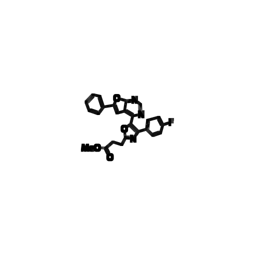 COC(=O)CCc1nc(-c2ccc(F)cc2)c(-c2ncnc3oc(-c4ccccc4)cc23)o1